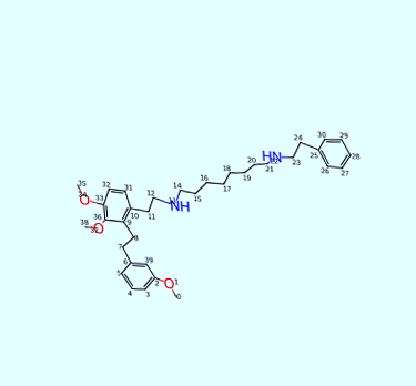 COc1cccc(CCc2c(CCNCCCCCCCCNCCc3ccccc3)ccc(OC)c2OC)c1